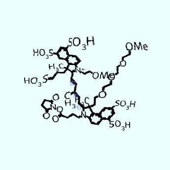 COCCOCCOCCOCCC1(C)\C(=C/C=C(C)/C=C/C2=[N+](CCOC)c3ccc4c(S(=O)(=O)O)cc(S(=O)(=O)O)cc4c3C2(C)CCCS(=O)(=O)O)N(CCCC(=O)ON2C(=O)CCC2=O)c2ccc3c(S(=O)(=O)O)cc(S(=O)(=O)O)cc3c21